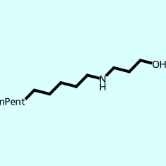 CCCCCCCCCCNCCCO